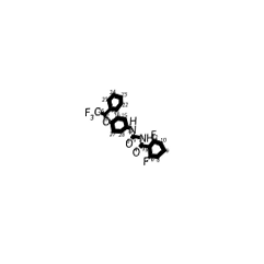 O=C(NC(=O)c1c(F)cccc1F)Nc1ccc(OC(c2ccccc2)C(F)(F)F)cc1